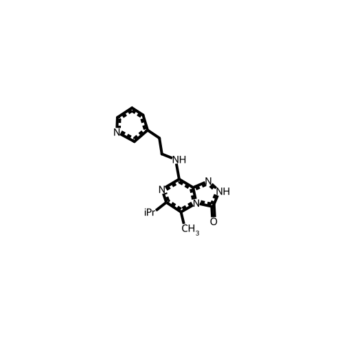 Cc1c(C(C)C)nc(NCCc2cccnc2)c2n[nH]c(=O)n12